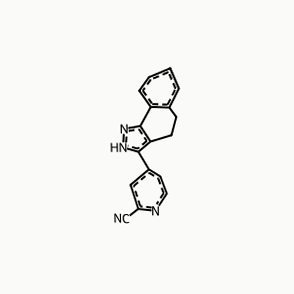 N#Cc1cc(-c2[nH]nc3c2CCc2ccccc2-3)ccn1